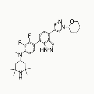 CN(c1ccc(-c2ccc(-c3cnn(C4CCCCO4)c3)c3cn[nH]c23)c(F)c1F)C1CC(C)(C)NC(C)(C)C1